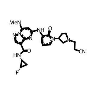 CNc1cc(Nc2cccn([C@H]3CCN(CCC#N)C3)c2=O)nc2c(C(=O)N[C@@H]3C[C@@H]3F)cnn12